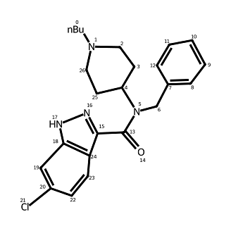 CCCCN1CCC(N(Cc2ccccc2)C(=O)c2n[nH]c3cc(Cl)ccc23)CC1